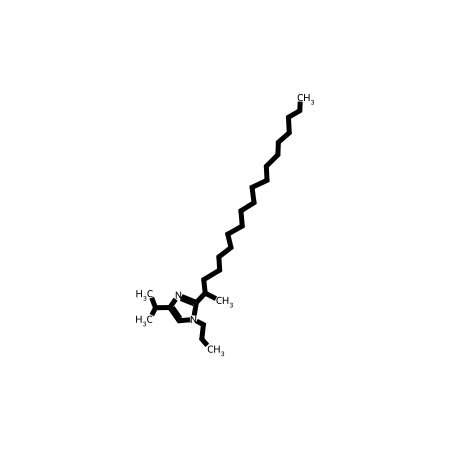 CCCCCCCCCCCCCCCCCC(C)c1nc(C(C)C)cn1CCC